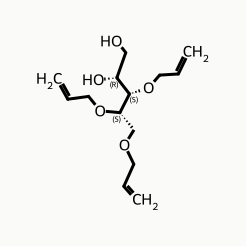 C=CCOC[C@H](OCC=C)[C@@H](OCC=C)[C@H](O)CO